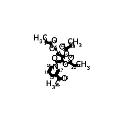 CCC(=O)OC[C@H]1O[C@@H](N2C=CCC(C(C)=O)=C2)[C@H](OC(=O)CC)[C@@H]1OC(=O)CC